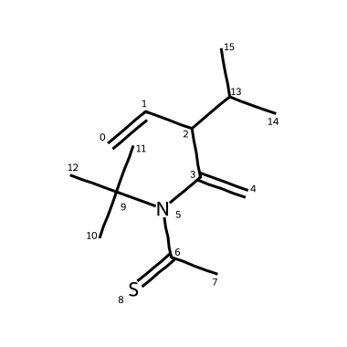 C=CC(C(=C)N(C(C)=S)C(C)(C)C)C(C)C